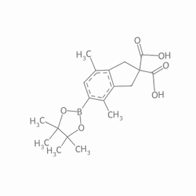 Cc1cc(B2OC(C)(C)C(C)(C)O2)c(C)c2c1CC(C(=O)O)(C(=O)O)C2